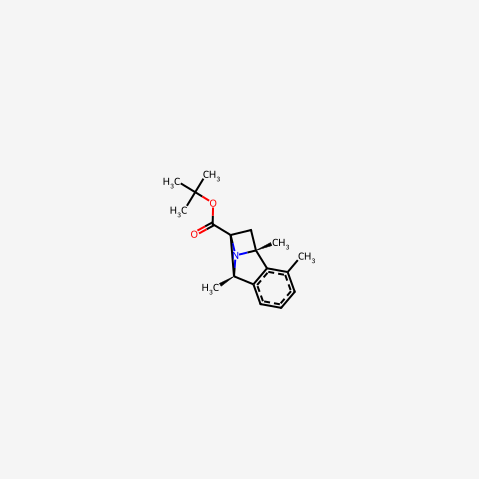 Cc1cccc2c1[C@@]1(C)CC3(C(=O)OC(C)(C)C)N1[C@]23C